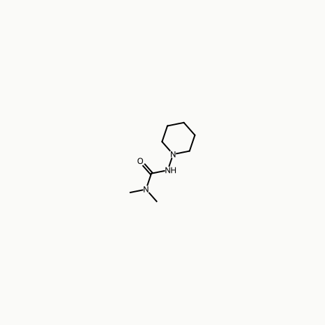 CN(C)C(=O)NN1CCCCC1